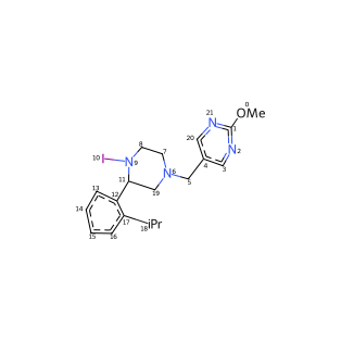 COc1ncc(CN2CCN(I)C(c3ccccc3C(C)C)C2)cn1